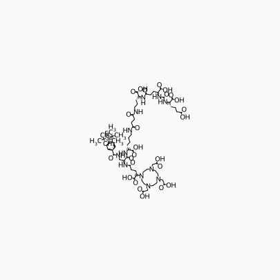 CC(C)(C)[Si](F)(c1ccc(C(=O)NC[C@H](NC(=O)CC[C@H](C(=O)O)N2CCN(CC(=O)O)CCN(CC(=O)O)CCN(CC(=O)O)CC2)C(=O)N[C@H](CCCCNC(=O)CCC(=O)NCCC[C@@H](NC(=O)CC[C@H](NC(=O)N[C@@H](CCCC(=O)O)C(=O)O)C(=O)O)C(=O)O)C(=O)O)cc1)C(C)(C)C